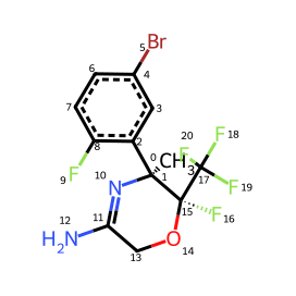 C[C@@]1(c2cc(Br)ccc2F)N=C(N)CO[C@]1(F)C(F)(F)F